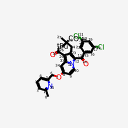 Cc1cccc(COc2ccn3c(C(=O)c4cc(Cl)cc(Cl)c4)c(CC(C)(C)C(=O)O)c(C(=O)C(C)(C)C)c3c2)n1